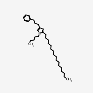 CCCCCCCCCCCCCCCCCc1nc(CCCc2ccccc2)cn1CCCCC